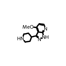 COc1ccnc2[nH]nc(C3CCNCC3)c12